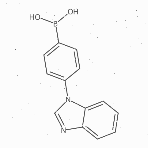 OB(O)c1ccc(-n2cnc3ccccc32)cc1